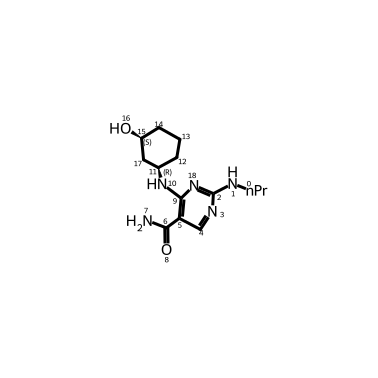 CCCNc1ncc(C(N)=O)c(N[C@@H]2CCC[C@H](O)C2)n1